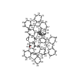 c1ccc2c(c1)-c1ccccc1C21c2cccc3c2N2c4c1cccc4[Si]1(c4ccccc4-c4ccccc41)c1ccc4[n+](c12)[N+]31c2c(ccc3c2-n2c5c(cccc5c5ccc[n+]1c52)C31c2ccccc2-c2ccccc21)O4